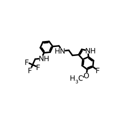 COc1cc2c(CCNCc3cccc(NCC(F)(F)F)c3)c[nH]c2cc1F